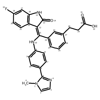 Cn1ccnc1-c1ccc(NC(=C2C(=O)Nc3cc(F)ccc32)c2cccc(CCC(=O)O)c2)cc1